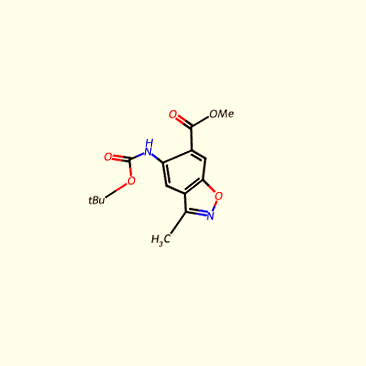 COC(=O)c1cc2onc(C)c2cc1NC(=O)OC(C)(C)C